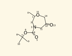 CC1CN(C(=O)OC(C)(C)C)CC(=O)CO1